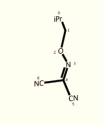 CC(C)CON=C(C#N)C#N